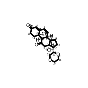 C[C@]12CC(=O)[C@H]3[C@@H](C=CC4=CC(=O)CC[C@@]43C)[C@@H]1CC[C@@H]2C1COCCO1